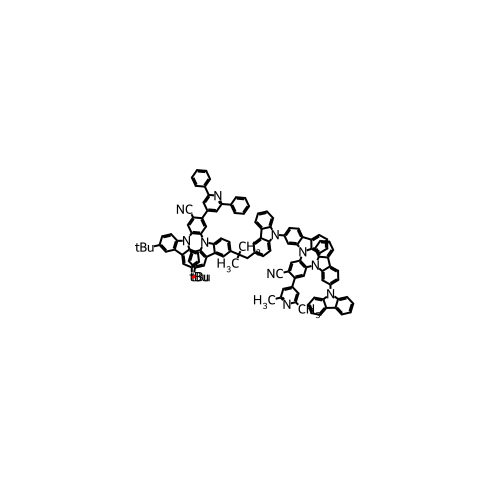 Cc1cc(-c2cc(-n3c4ccccc4c4ccc(-n5c6ccccc6c6ccccc65)cc43)c(-n3c4ccccc4c4ccc(-n5c6ccccc6c6cc(CC(C)(C)c7ccc8c(c7)c7cc(C(C)(C)C)ccc7n8-c7cc(-c8cc(-c9ccccc9)nc(-c9ccccc9)c8)c(C#N)cc7-n7c8ccc(C(C)(C)C)cc8c8cc(C(C)(C)C)ccc87)ccc65)cc43)cc2C#N)cc(C)n1